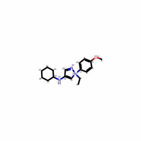 CC[N+]1(c2ccc(OC)cc2)C=C(NC2CCCCC2)C=N1